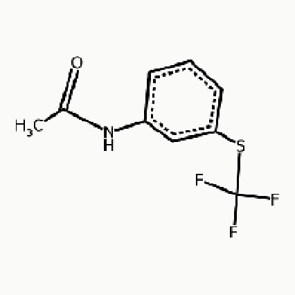 CC(=O)Nc1cccc(SC(F)(F)F)c1